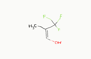 CC(=CO)C(F)(F)F